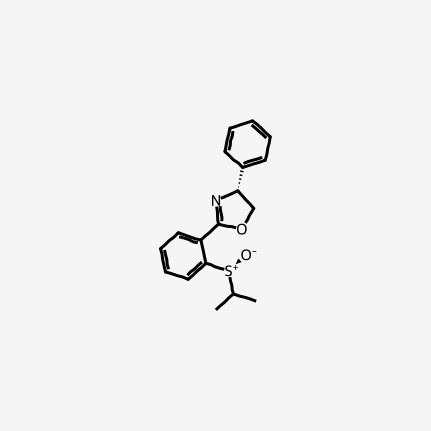 CC(C)[S@+]([O-])c1ccccc1C1=N[C@H](c2ccccc2)CO1